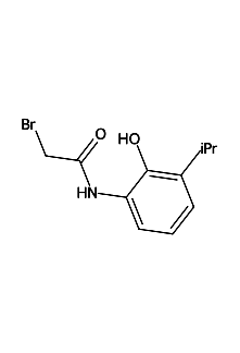 CC(C)c1cccc(NC(=O)CBr)c1O